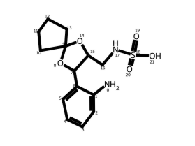 Nc1ccccc1C1OC2(CCCC2)OC1CNS(=O)(=O)O